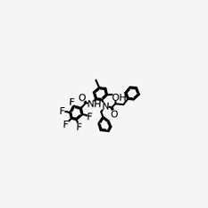 Cc1cc(C)c(N(Cc2ccccc2)C(=O)C(O)Cc2ccccc2)c(NC(=O)c2c(F)c(F)c(F)c(F)c2F)c1